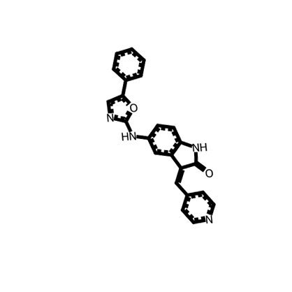 O=C1Nc2ccc(Nc3ncc(-c4ccccc4)o3)cc2/C1=C/c1ccncc1